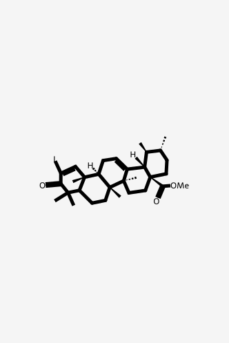 COC(=O)[C@]12CC[C@@H](C)[C@H](C)[C@H]1C1=CC[C@@H]3[C@@]4(C)C=C(I)C(=O)C(C)(C)C4CC[C@@]3(C)[C@]1(C)CC2